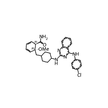 CO[C@]1(CC2CCC(Nc3nc(Nc4ccc(Cl)cc4)c4ccccc4n3)CC2)C=CC=C[C@H]1C(N)=O